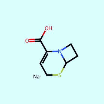 O=C(O)C1=CCSC2CCN12.[Na]